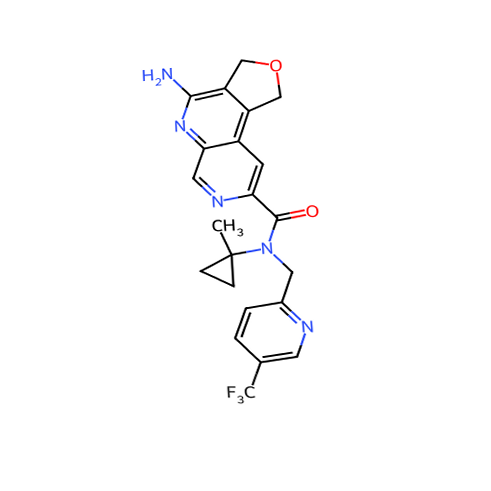 CC1(N(Cc2ccc(C(F)(F)F)cn2)C(=O)c2cc3c4c(c(N)nc3cn2)COC4)CC1